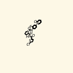 O=C(NCC1CCCN1C(=O)Nc1ccc(-n2ccccc2=O)cc1F)C1=CCC(Cl)S1